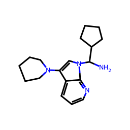 NC(C1CCCC1)n1cc(N2CCCCC2)c2cccnc21